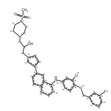 CS(=O)(=O)N1CCN(CC(O)Cn2ccc(-c3ccc4ncnc(Nc5ccc(OCc6cccc(F)c6)c(Cl)c5)c4c3)c2)CC1